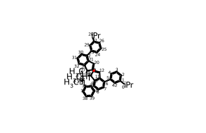 CC(C)c1cccc(-c2cccc3c2C=C[CH]3[Hf]([CH3])([CH3])([CH]2C=Cc3c(-c4cccc(C(C)C)c4)cccc32)=[Si](C)c2ccccc2)c1